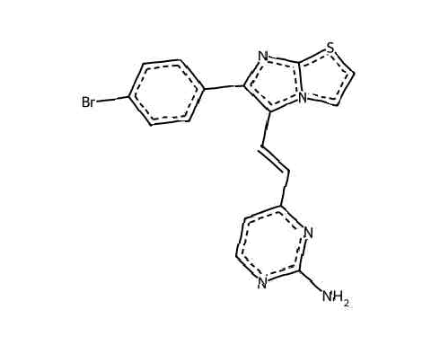 Nc1nccc(C=Cc2c(-c3ccc(Br)cc3)nc3sccn23)n1